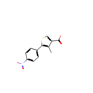 Cc1c(C(=O)O)csc1-c1ccc([N+](=O)[O-])cc1